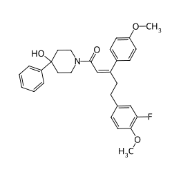 COc1ccc(/C(=C\C(=O)N2CCC(O)(c3ccccc3)CC2)CCc2ccc(OC)c(F)c2)cc1